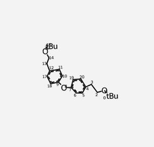 CC(C)(C)OCCc1ccc(Oc2ccc(CCOC(C)(C)C)cc2)cc1